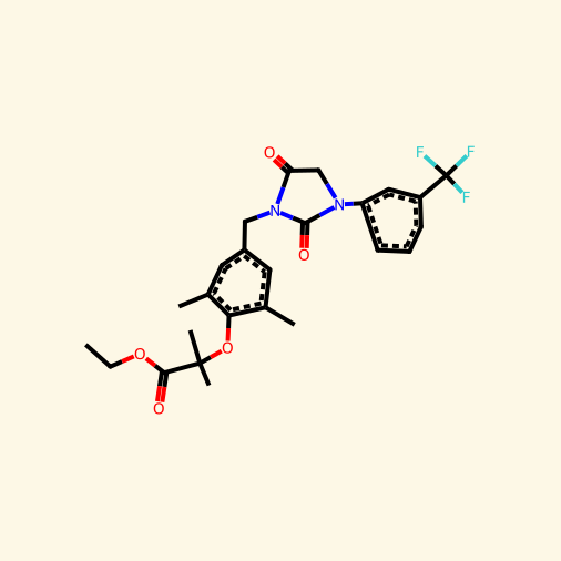 CCOC(=O)C(C)(C)Oc1c(C)cc(CN2C(=O)CN(c3cccc(C(F)(F)F)c3)C2=O)cc1C